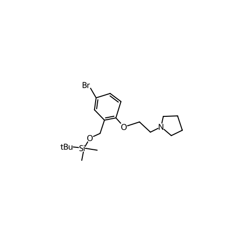 CC(C)(C)[Si](C)(C)OCc1cc(Br)ccc1OCCN1CCCC1